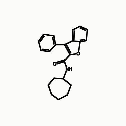 O=C(NC1CCCCCC1)c1oc2ccccc2c1-c1ccccc1